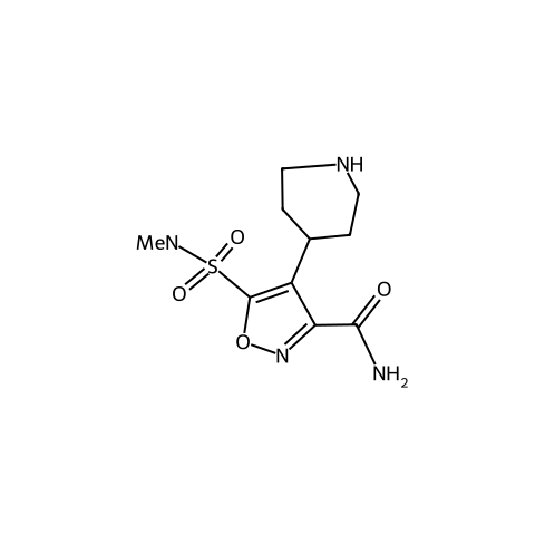 CNS(=O)(=O)c1onc(C(N)=O)c1C1CCNCC1